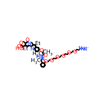 CCc1c2c(nc3ccc(OC(C)(C)C(=O)N/N=C(\C)c4ccccc4OCCOCCOCCOCCOCCOCCN=[N+]=[N-])cc13)-c1cc3c(c(=O)n1C2)COC(=O)[C@]3(O)CC